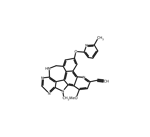 C#Cc1cc(OC)c2c(n1)c1cc(Oc3cccc(C)n3)cc3c1c1c4c(ncnc4n(C)c21)NC3